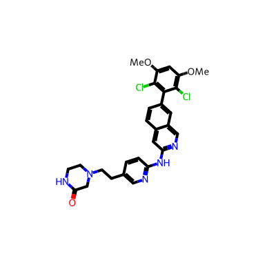 COc1cc(OC)c(Cl)c(-c2ccc3cc(Nc4ccc(CCN5CCNC(=O)C5)cn4)ncc3c2)c1Cl